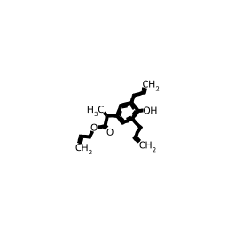 C=CCOC(=O)C(C)c1cc(CC=C)c(O)c(CC=C)c1